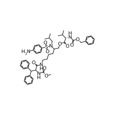 COC(=O)NC(C(=O)NCCCCC(COC(=O)[C@@H](NC(=O)OCc1ccccc1)C(C)C)N(CC(C)C)S(=O)(=O)c1ccc(N)cc1)C(c1ccccc1)c1ccccc1